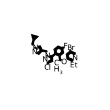 CCc1ncc(Br)cc1O[C@H](C)c1cc(F)ccc1-c1cc(Cl)nn1Cc1cnn(CC2CC2)c1